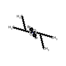 CCCCCCCCCCCCC(CCCCCCCCCC)CCCN1C(=O)/C(=C2/C(=O)N(CCCC(CCCCCCCCCC)CCCCCCCCCCCC)c3cc(Br)ccc32)c2ccc(Br)cc21